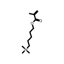 C=C(C)C(=O)OCCCCC[N+](C)(C)C